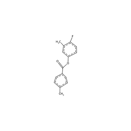 Cc1ccc(C(=O)Oc2ccc(F)c(C)c2)cc1